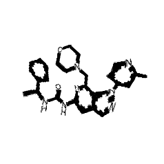 Cc1cc(-n2ncc3cc(NC(=O)NC(C)c4ccccc4)nc(CN4CCOCC4)c32)ccn1